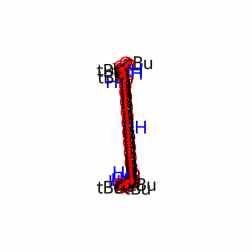 CC(C)(C)OC(=O)CC[C@H](NC(=O)N[C@@H](CCC(=O)NCCOCCOCCOCCOCCOCCOCCOCCOCCNCCOCCOCCOCCOCCOCCOCCOCCOCCNC(=O)CC[C@H](NC(=O)N[C@@H](CCC(=O)OC(C)(C)C)C(=O)OC(C)(C)C)C(=O)OC(C)(C)C)C(=O)OC(C)(C)C)C(=O)OC(C)(C)C